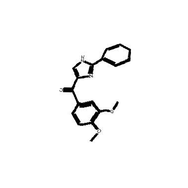 COc1ccc(C(=O)c2c[nH]c(C3=CCCC=C3)n2)cc1OC